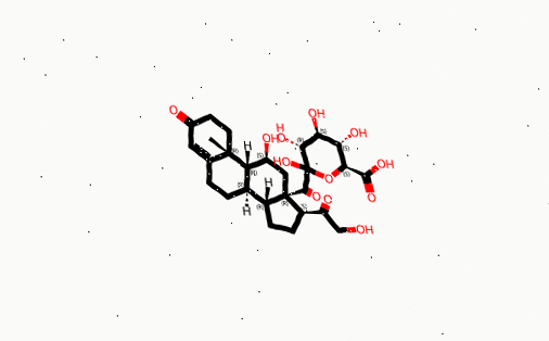 C[C@]12CCC(=O)C=C1CC[C@H]1[C@H]2[C@@H](O)C[C@]2(C(=O)C3(O)O[C@H](C(=O)O)[C@@H](O)[C@H](O)[C@H]3O)[C@@H](C(=O)CO)CC[C@H]12